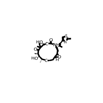 C/C(=C\c1csc(C)n1)[C@@H]1CC2O[C@@H]2CCC[C@H](C)[C@H](O)[C@@H](C)C(=O)C(C)(C)[C@@H](O)CC(=O)N1